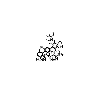 C=CC(=O)N1CC2C(=O)Nc3c(c4cc(F)c(-c5c(C)ccc6[nH]ncc56)c(Cl)c4n(-c4c(C(C)C)ncnc4C(C)C)c3=O)N2CC1C